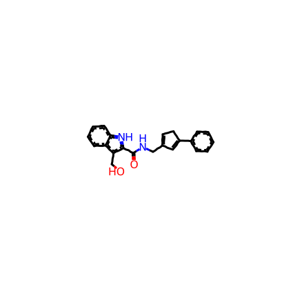 O=C(NCC1=CCC(c2ccccc2)=C1)c1[nH]c2ccccc2c1CO